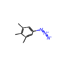 Cc1cc(N=[N+]=[N-])cc(C)c1C